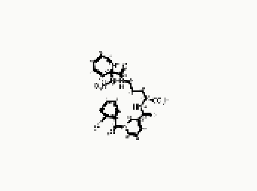 [CH2]c1ccccc1C(=O)N1C=CC=C(C(=O)N[C@@H](CCCNC(=O)C2(N[N+](=O)[O-])C=CC=CC=N2)C(=O)O)C1